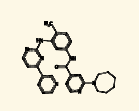 Cc1ccc(NC(=O)c2ccnc(N3CCCCCC3)c2)cc1Nc1nccc(-c2cccnc2)n1